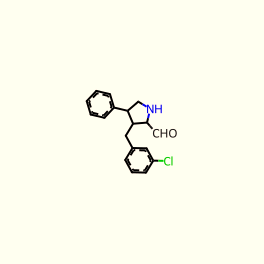 O=CC1NCC(c2ccccc2)C1Cc1cccc(Cl)c1